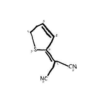 N#CC(C#N)=C1C=CCS1